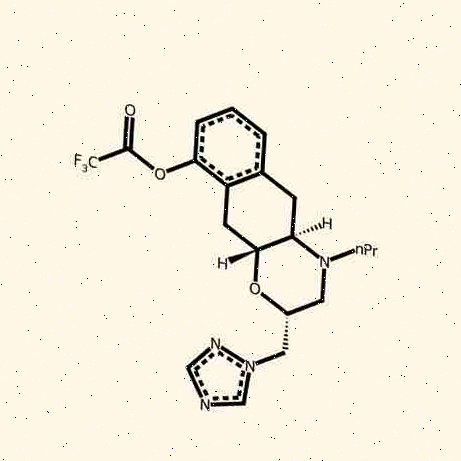 CCCN1C[C@H](Cn2cncn2)O[C@@H]2Cc3c(cccc3OC(=O)C(F)(F)F)C[C@H]21